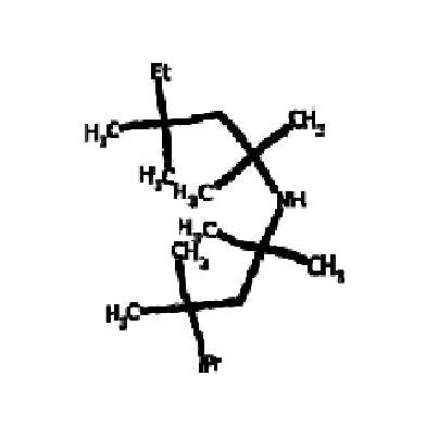 CCC(C)(C)CC(C)(C)NC(C)(C)CC(C)(C)C(C)C